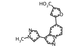 Cn1cc(-c2cnn3ccc(-c4cc(C(=O)O)co4)cc23)cn1